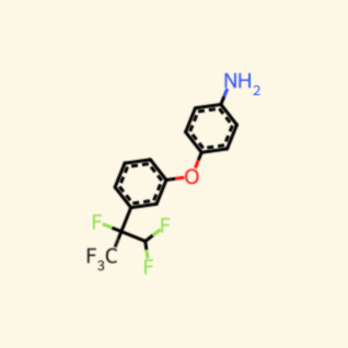 Nc1ccc(Oc2cccc(C(F)(C(F)F)C(F)(F)F)c2)cc1